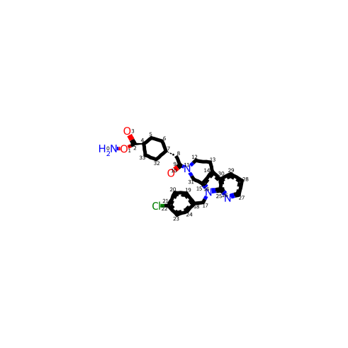 NOC(=O)[C@H]1CC[C@H](CC(=O)N2CCc3c(n(Cc4ccc(Cl)cc4)c4ncccc34)C2)CC1